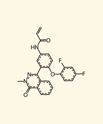 C=CC(=O)Nc1ccc(Oc2ccc(F)cc2F)c(-c2nn(C)c(=O)c3ccccc23)c1